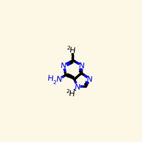 [2H]c1nc(N)c2c(ncn2[2H])n1